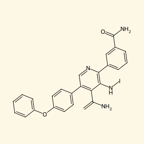 C=C(N)c1c(-c2ccc(Oc3ccccc3)cc2)cnc(-c2cccc(C(N)=O)c2)c1NI